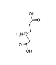 N[C@H](CCC(=O)O)CC(=O)O